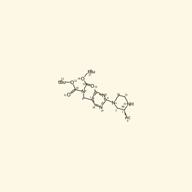 CC(=O)[C@H]1CN(c2ncc(CN(C(=O)OC(C)(C)C)C(=O)OC(C)(C)C)cn2)CCN1